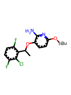 CCCCOc1ccc(OC(C)c2c(F)ccc(F)c2Cl)c(N)n1